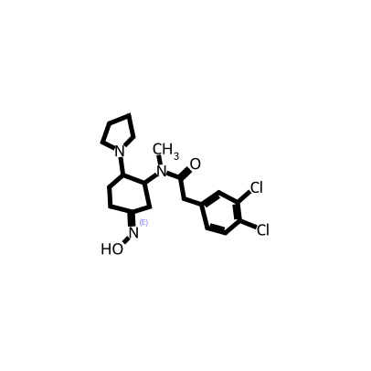 CN(C(=O)Cc1ccc(Cl)c(Cl)c1)C1C/C(=N/O)CCC1N1CCCC1